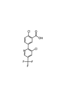 O=C(O)c1cc(-c2ncc(C(F)(F)F)cc2Cl)ccc1Cl